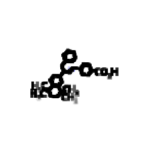 CC1(C)CCC(C)(C)c2cc(C(/C=C/c3ccc(C(=O)O)cc3)Cc3ccccc3)ccc21